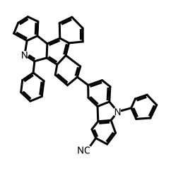 N#Cc1ccc2c(c1)c1cc(-c3ccc4c(c3)c3ccccc3c3c5ccccc5nc(-c5ccccc5)c43)ccc1n2-c1ccccc1